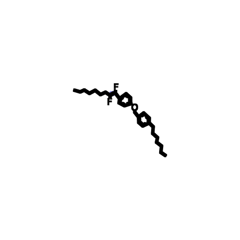 CCCCCCC/C(F)=C(\F)c1ccc(OCc2ccc(CCCCCCC)cc2)cc1